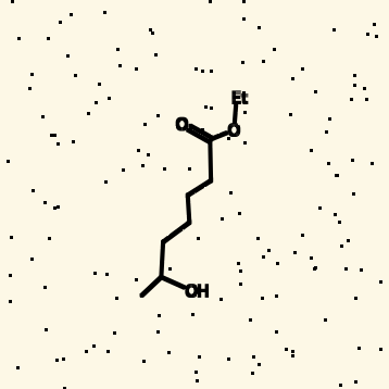 CCOC(=O)CCCCC(C)O